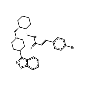 O=C(/C=C/c1ccc(Br)cc1)NC[C@H]1CCCC[C@@H]1CN1CCN(c2nsc3ccccc23)CC1